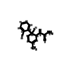 NC(=O)NC1C=C(C(F)(F)F)C=CC1(F)c1ccccc1F